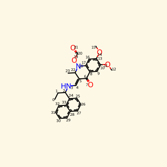 CCC(NC=C1C(=O)c2cc(OC)c(OC)cc2N(OC=O)C1C)c1cccc2ccccc12